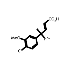 CCCC(C)(/C=C/C(=O)O)c1ccc(Cl)c(OC)c1